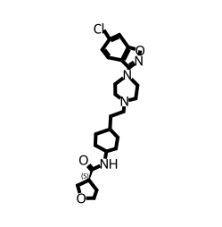 O=C(NC1CCC(CCN2CCN(c3noc4cc(Cl)ccc34)CC2)CC1)[C@H]1CCOC1